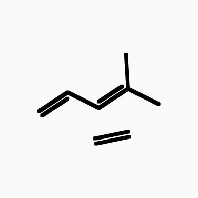 C=C.C=CC=C(C)C